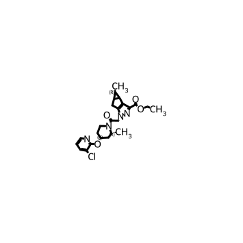 CCOC(=O)c1nn(CC(=O)N2CC[C@@H](Oc3ncccc3Cl)C[C@H]2C)c2c1C1C(C2)[C@H]1C